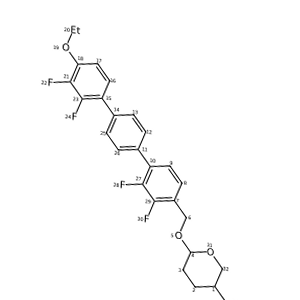 CCCCCCCCCC1CCC(OCc2ccc(-c3ccc(-c4ccc(OCC)c(F)c4F)cc3)c(F)c2F)OC1